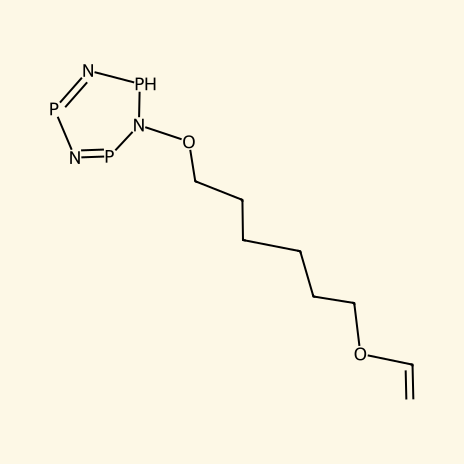 C=COCCCCCCON1P=NP=NP1